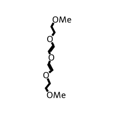 COCCOC=COC=COCCOC